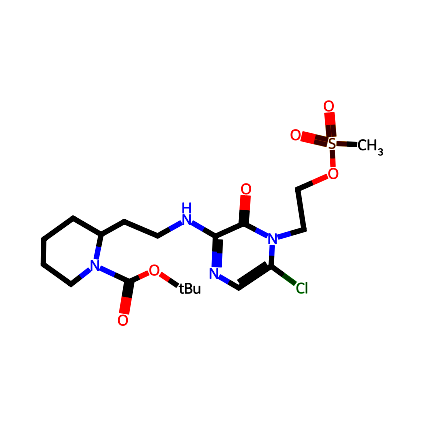 CC(C)(C)OC(=O)N1CCCCC1CCNc1ncc(Cl)n(CCOS(C)(=O)=O)c1=O